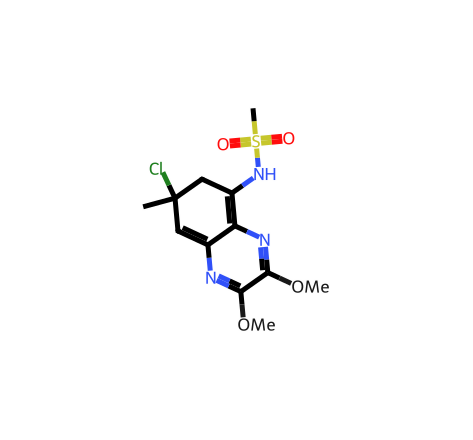 COc1nc2c(nc1OC)=C(NS(C)(=O)=O)CC(C)(Cl)C=2